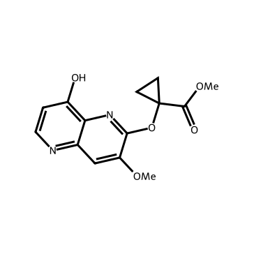 COC(=O)C1(Oc2nc3c(O)ccnc3cc2OC)CC1